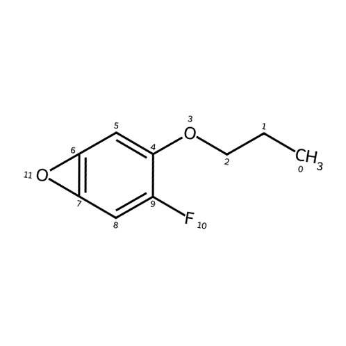 CCCOc1cc2c(cc1F)O2